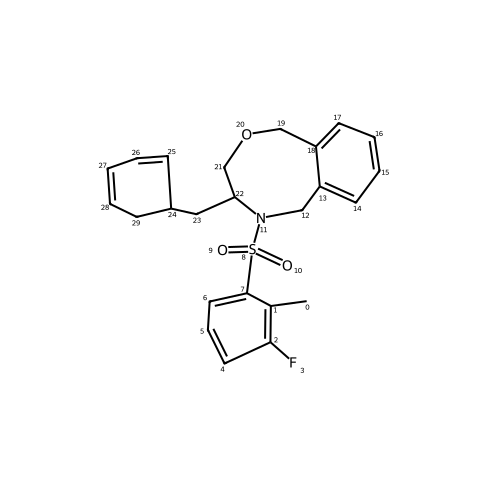 Cc1c(F)cccc1S(=O)(=O)N1Cc2ccccc2COCC1CC1C=CC=CC1